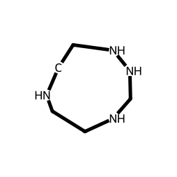 C1CNCNNCCN1